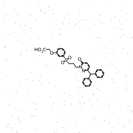 O=C(O)COc1cccc(S(=O)(=O)CCCn2nc(C(c3ccccc3)c3ccccc3)ccc2=O)c1